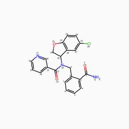 NC(=O)c1ccccc1CN(C(=O)c1cccnc1)C1COc2ccc(Cl)cc21